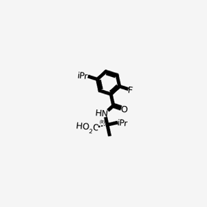 CC(C)c1ccc(F)c(C(=O)N[C@@](C)(C(=O)O)C(C)C)c1